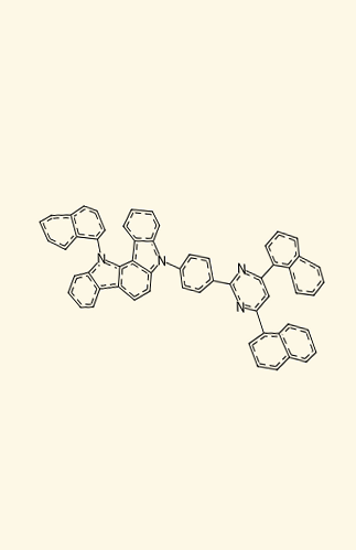 c1ccc2c(-c3cc(-c4cccc5ccccc45)nc(-c4ccc(-n5c6ccccc6c6c5ccc5c7ccccc7n(-c7cccc8ccccc78)c56)cc4)n3)cccc2c1